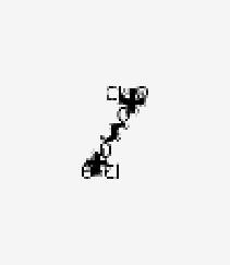 ClCC1(COCCCCOCC2(CCl)COC2)COC1